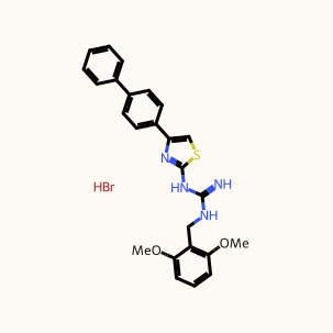 Br.COc1cccc(OC)c1CNC(=N)Nc1nc(-c2ccc(-c3ccccc3)cc2)cs1